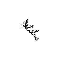 CC=CC(=O)OC(CCCP(CC[N+](C)(C)C)CC(CC)OC(=O)C=CC)CPCC[N+](C)(C)C